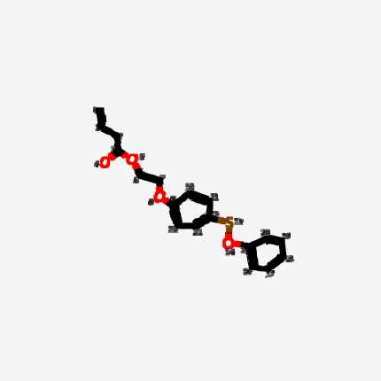 C=CCC(=O)OCCOc1ccc(SOc2ccccc2)cc1